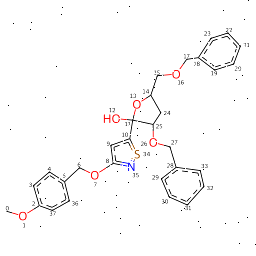 COc1ccc(COc2cc(C3(O)OC(COCc4ccccc4)CC3OCc3ccccc3)sn2)cc1